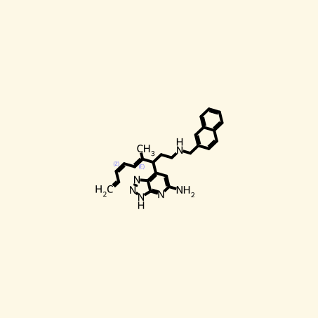 C=C/C=C\C=C(/C)C(CCNCc1ccc2ccccc2c1)c1cc(N)nc2[nH]nnc12